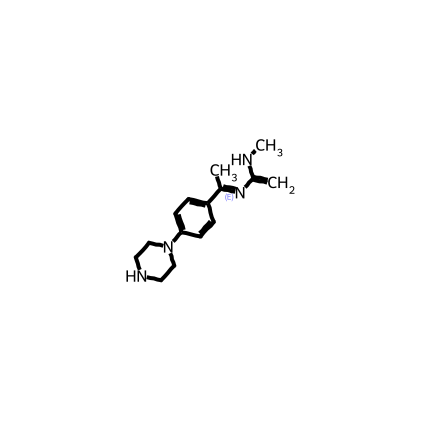 C=C(/N=C(\C)c1ccc(N2CCNCC2)cc1)NC